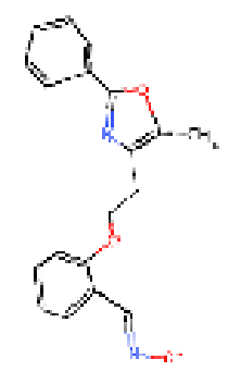 Cc1oc(-c2ccccc2)nc1CCOc1ccccc1C=NO